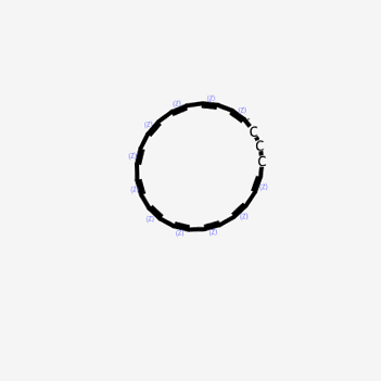 [C]1=C/C=C\C=C/C=C\C=C/C=C\C=C/C=C\C=C/C=C\C=C/CCC\1